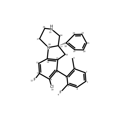 Cc1cccc(F)c1-c1c(Cl)c(F)cc2c1C[C@]1(c3ccccc3)CNCCN21